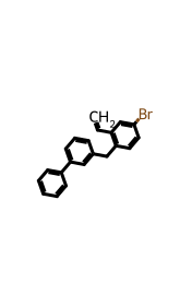 C=Cc1cc(Br)ccc1Cc1cccc(-c2ccccc2)c1